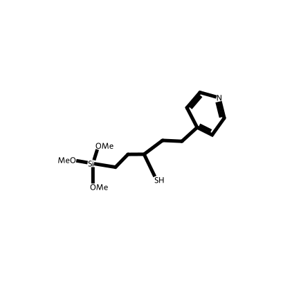 CO[Si](CCC(S)CCc1ccncc1)(OC)OC